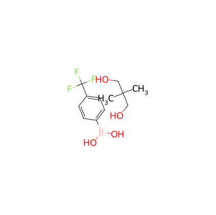 CC(C)(CO)CO.OB(O)c1ccc(C(F)(F)F)cc1